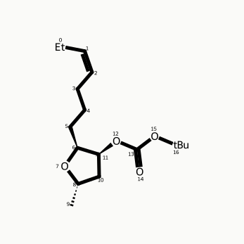 CC/C=C\CCC[C@@H]1O[C@@H](C)C[C@@H]1OC(=O)OC(C)(C)C